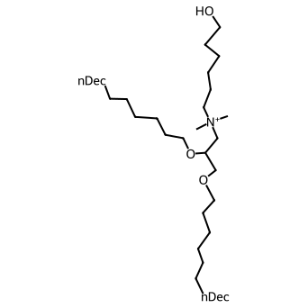 CCCCCCCCCCCCCCCCOCC(C[N+](C)(C)CCCCCCO)OCCCCCCCCCCCCCCCC